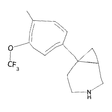 Cc1ccc(C23CCNCC2C3)cc1OC(F)(F)F